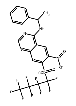 CC(Nc1ncnc2cc(S(=O)(=O)C(F)(F)C(F)(F)C(F)(F)C(F)(F)F)c([N+](=O)[O-])cc12)c1ccccc1